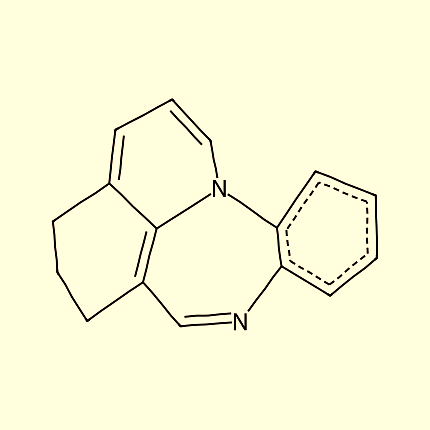 C1=CN2C3=C(C=Nc4ccccc42)CCCC3=C1